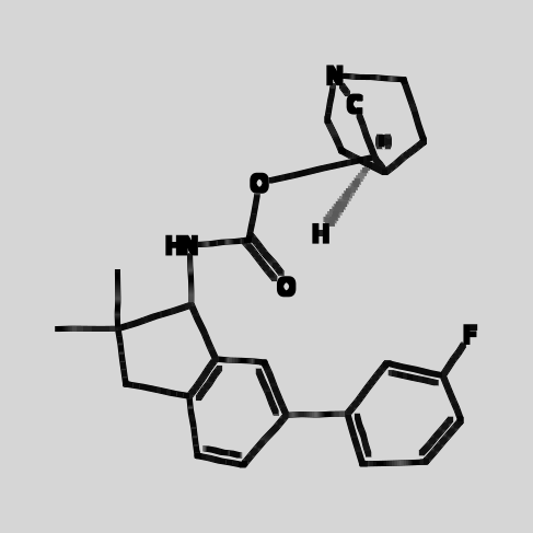 CC1(C)Cc2ccc(-c3cccc(F)c3)cc2C1NC(=O)O[C@H]1CN2CCC1CC2